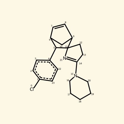 Clc1ccc(C2C3C=CC(C3)C23CCC(N2CCCCC2)=N3)cc1